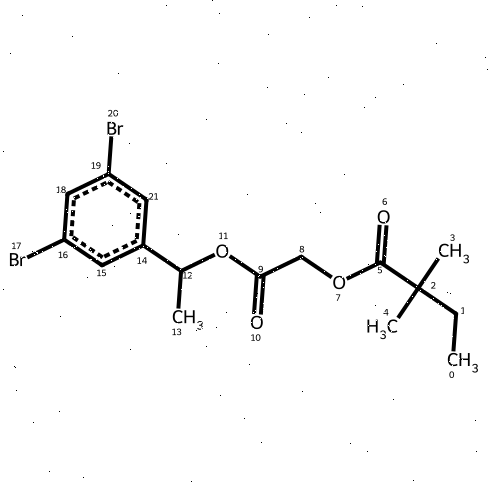 CCC(C)(C)C(=O)OCC(=O)OC(C)c1cc(Br)cc(Br)c1